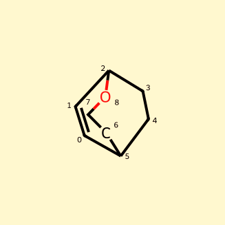 C1=CC2CCC1CCO2